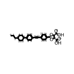 CCCC1CCC(c2ccc(C#Cc3ccc(C4O[C@@H](C(=O)O)[C@H](C(=O)O)O4)cc3)cc2)CC1